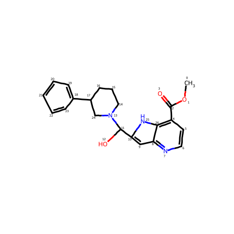 COC(=O)c1ccnc2cc(C(O)N3CCCC(c4ccccc4)C3)[nH]c12